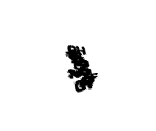 CCN(C)Cc1cc([C@@H]2CCc3ccc(C[C@H](C)C(=O)O)cc3O2)ccc1-c1cc(OC)ncc1F